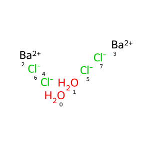 O.O.[Ba+2].[Ba+2].[Cl-].[Cl-].[Cl-].[Cl-]